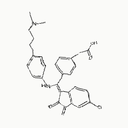 CN(C)CCCc1ccc(N/C(=C2\C(=O)Nc3cc(Cl)ccc32)c2ccc(CC(=O)O)cc2)cc1